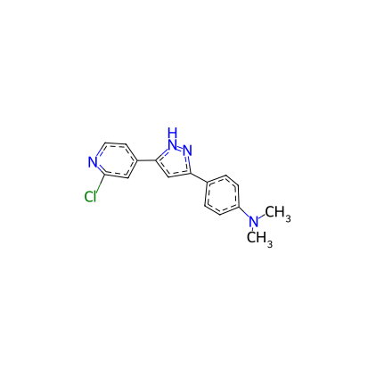 CN(C)c1ccc(-c2cc(-c3ccnc(Cl)c3)[nH]n2)cc1